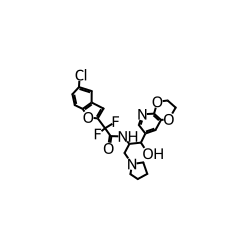 O=C(NC(CN1CCCC1)C(O)c1cnc2c(c1)OCCO2)C(F)(F)c1cc2cc(Cl)ccc2o1